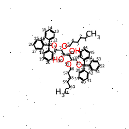 CCCCCCO[C@H](COC(c1ccccc1)(c1ccccc1)c1ccccc1)[C@@H](O)[C@H](O)[C@@H](COC(c1ccccc1)(c1ccccc1)c1ccccc1)OCCCCCC